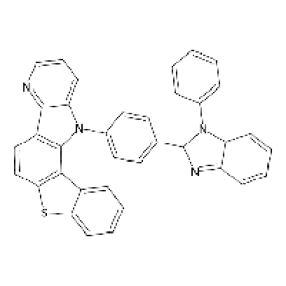 C1=CC2=NC(c3ccc(-n4c5cccnc5c5ccc6sc7ccccc7c6c54)cc3)N(c3ccccc3)C2C=C1